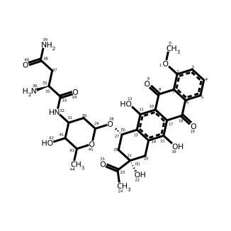 COc1cccc2c1C(=O)c1c(O)c3c(c(O)c1C2=O)C[C@@](O)(C(C)=O)C[C@@H]3OC1CC(NC(=O)[C@@H](N)CC(N)=O)C(O)C(C)O1